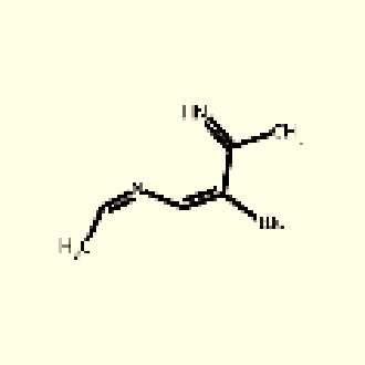 C/C=N\C=C(/C(C)=N)C(C)(C)C